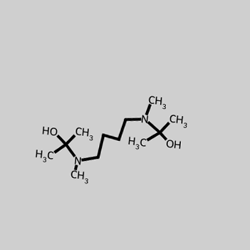 CN(CCCCN(C)C(C)(C)O)C(C)(C)O